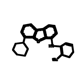 CC(C)(C)C1=C(Nc2cccc3c2oc2c(C4CCCCC4)cccc23)C=CCC1